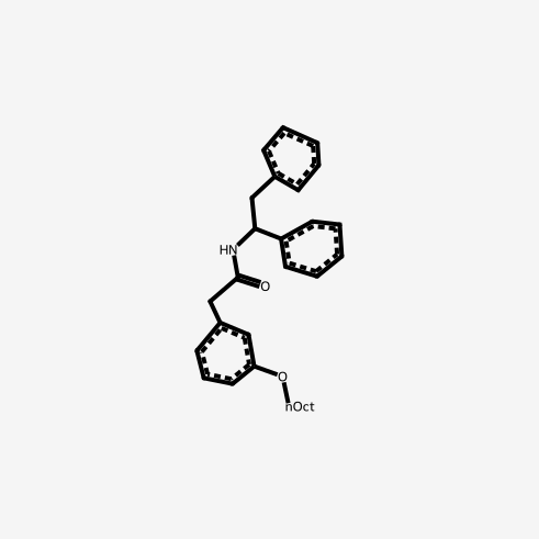 CCCCCCCCOc1cccc(CC(=O)NC(Cc2ccccc2)c2ccccc2)c1